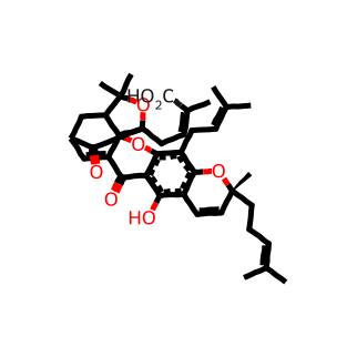 CC(C)=CCC[C@]1(C)C=Cc2c(O)c3c(c(CC=C(C)C)c2O1)OC12C(=CC4CC1C(C)(C)OC2(C/C=C(/C)C(=O)O)C4=O)C3=O